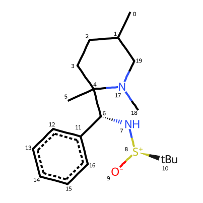 CC1CCC(C)([C@H](N[S@+]([O-])C(C)(C)C)c2ccccc2)N(C)C1